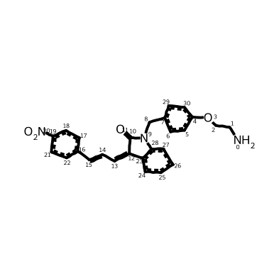 NCCOc1ccc(CN2C(=O)C(=C/C=C/c3ccc([N+](=O)[O-])cc3)c3ccccc32)cc1